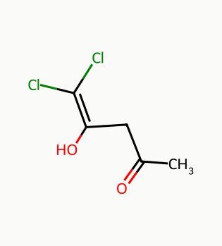 CC(=O)CC(O)=C(Cl)Cl